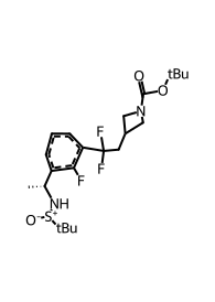 C[C@@H](N[S+]([O-])C(C)(C)C)c1cccc(C(F)(F)CC2CN(C(=O)OC(C)(C)C)C2)c1F